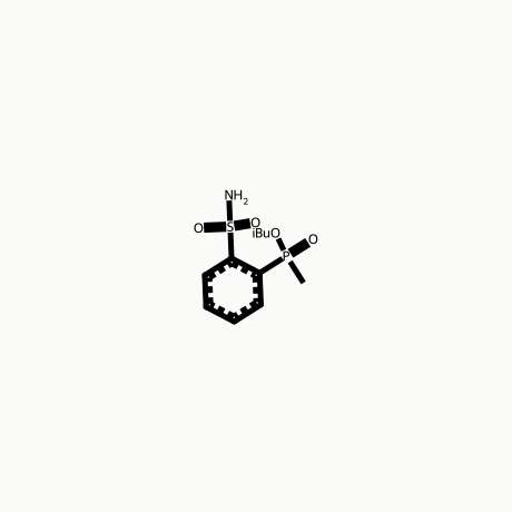 CC(C)COP(C)(=O)c1ccccc1S(N)(=O)=O